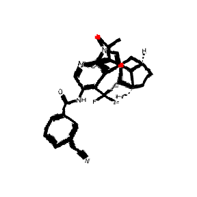 CC(C)C(=O)N1C[C@H]2CC[C@@H](C1)C2c1cn(C)c2ncc(NC(=O)c3cccc(C#N)c3)c(C(F)(F)F)c12